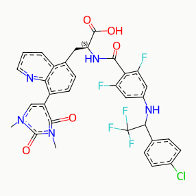 Cn1cc(-c2ccc(C[C@H](NC(=O)c3c(F)cc(NC(c4ccc(Cl)cc4)C(F)(F)F)cc3F)C(=O)O)c3cccnc23)c(=O)n(C)c1=O